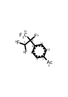 CC(=O)c1ccc(C(F)(C(F)F)C(F)(F)F)cc1